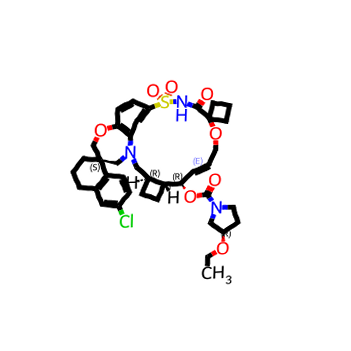 CCO[C@@H]1CCN(C(=O)O[C@H]2/C=C/COC3(CCC3)C(=O)NS(=O)(=O)c3ccc4c(c3)N(C[C@@H]3CC[C@H]32)C[C@@]2(CCCc3cc(Cl)ccc32)CO4)C1